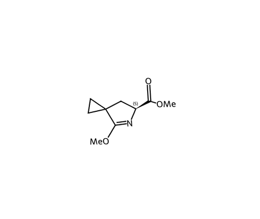 COC(=O)[C@@H]1CC2(CC2)C(OC)=N1